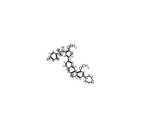 COc1cc(N2CCOCC2)ccc1-c1cc2cc(-c3cnc(OC)c(NS(=O)(=O)c4ccc(F)cc4F)c3)ccc2nc1N